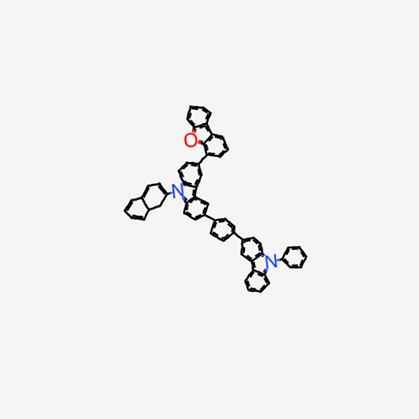 C1=CC2=CC=C(n3c4ccc(-c5ccc(-c6ccc7c(c6)c6ccccc6n7-c6ccccc6)cc5)cc4c4cc(-c5cccc6c5oc5ccccc56)ccc43)CC2C=C1